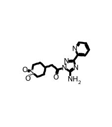 Nc1nc(-c2ccccn2)nn1C(=O)CC1CCS(=O)(=O)CC1